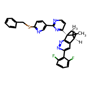 CC1(C)[C@H]2CC[C@]1(c1ccnc(-c3ccc(SCc4ccccc4)nc3)n1)c1nnc(-c3c(F)cccc3F)cc12